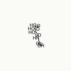 O=C(NCCCS(=O)(=O)O)OCC(O)C1OC(=O)C(O)C1O